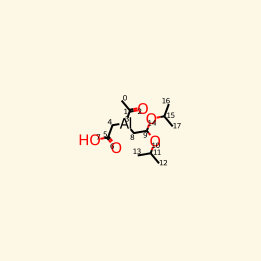 C[C](=O)[Al]([CH2]C(=O)O)[CH2]C(OC(C)C)OC(C)C